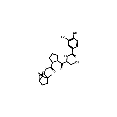 CC1(C)C2CCC1(C)C(OC(=O)C1CCCN1C(=O)C(CC#N)NC(=O)c1ccc(O)c(O)c1)C2